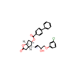 O=C1C[C@@H]2[C@@H](/C=C/C(O)COc3cccc(Cl)c3)[C@H](OC(=O)c3ccc(-c4ccccc4)cc3)C[C@@H]2O1